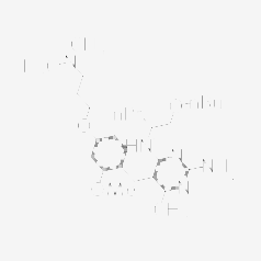 CCCCOC[C@H](CCC)Nc1nc(N)nc(C)c1Cc1ccc(OCCCN(C)C)cc1OC